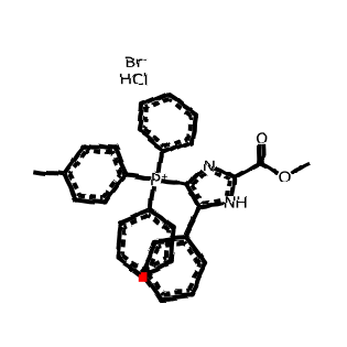 COC(=O)c1nc([P+](c2ccccc2)(c2ccccc2)c2ccc(C)cc2)c(-c2ccccc2)[nH]1.Cl.[Br-]